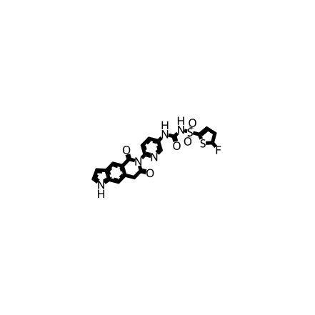 O=C(Nc1ccc(N2C(=O)Cc3cc4[nH]ccc4cc3C2=O)nc1)NS(=O)(=O)C1=CCC(F)S1